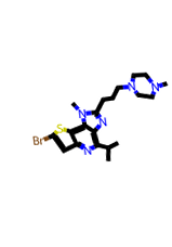 CC(C)c1nc2cc(Br)sc2c2c1nc(CCCN1CCN(C)CC1)n2C